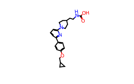 O=C(O)NCCC1CCN(c2cccc(-c3ccc(OCC4CC4)cc3)n2)CC1